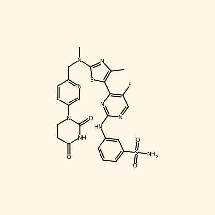 Cc1nc(N(C)Cc2ccc(N3CCC(=O)NC3=O)cn2)sc1-c1nc(Nc2cccc(S(N)(=O)=O)c2)ncc1F